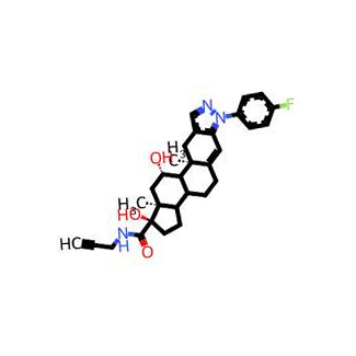 C#CCNC(=O)[C@@]1(O)CCC2C3CCC4=Cc5c(cnn5-c5ccc(F)cc5)C[C@]4(C)C3[C@@H](O)C[C@@]21C